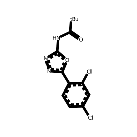 CC(C)(C)C(=O)Nc1nnc(-c2ccc(Cl)cc2Cl)o1